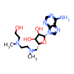 CN(CCO)CCN(C)C[C@H]1O[C@@H](n2cnc3c(N)ncnc32)[C@H](O)[C@@H]1O